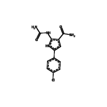 NC(=O)Nc1[nH]c(-c2ccc(Cl)cc2)cc1C(N)=O